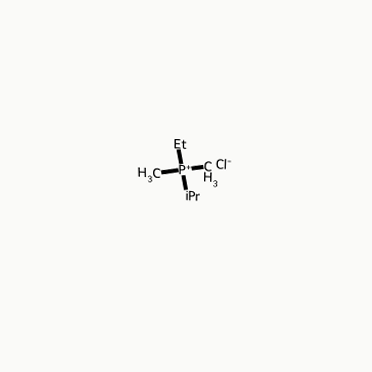 CC[P+](C)(C)C(C)C.[Cl-]